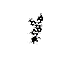 C[C@@H]1[C@@H](/N=C(/Nc2ccc3c(=O)n(CCc4ccc(Cl)cc4Cl)c(N4CCC(CO)CC4)nc3c2)N2CC(=O)N[C@@H](C)C2)C[C@@H]2C[C@H]1C2(C)C